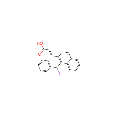 O=C(O)C=CC1=C(C(I)c2ccccc2)c2ccccc2CC1